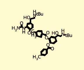 CC(C)(C)NCC(O)c1ccc(O)c(NC(N)=O)c1.Cc1ccc(C(=O)Oc2ccc(C(O)CNC(C)(C)C)cc2OC(=O)c2ccc(C)cc2)cc1